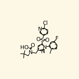 Cc1ccc(F)cc1-n1nc(CN(CC(C)(C)C)C(=O)O)cc1S(=O)(=O)c1ccc(Cl)nc1